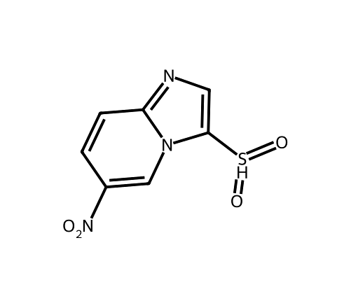 O=[N+]([O-])c1ccc2ncc([SH](=O)=O)n2c1